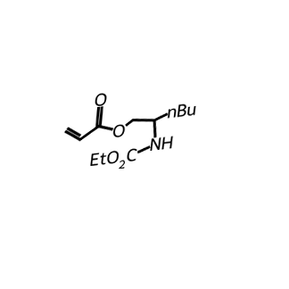 C=CC(=O)OCC(CCCC)NC(=O)OCC